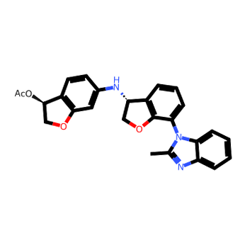 CC(=O)O[C@@H]1COc2cc(N[C@H]3COc4c3cccc4-n3c(C)nc4ccccc43)ccc21